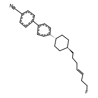 N#Cc1ccc(-c2ccc([C@H]3CC[C@H](CCCC=CCCF)CC3)cc2)cc1